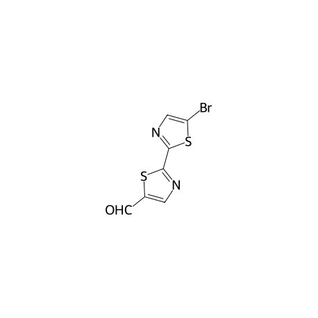 O=Cc1cnc(-c2ncc(Br)s2)s1